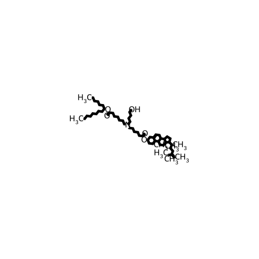 C/C=C(\CCC(C)C1CCC2C3CC=C4CC(OC(=O)CCCCCN(CCCCO)CCCCCCC(=O)OC(CCCCCC)CCCCCCCC)CCC4(C)C3CCC12C)C(C)C